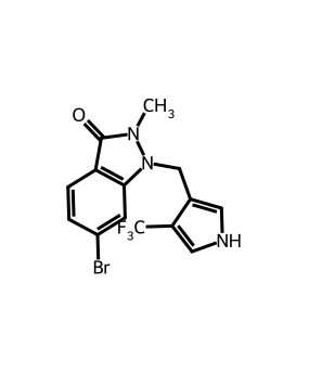 Cn1c(=O)c2ccc(Br)cc2n1Cc1c[nH]cc1C(F)(F)F